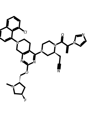 C=C(C(=O)N1CCN(c2nc(OC[C@@H]3C[C@@H](F)CN3C)nc3c2CCN(c2cccc4cccc(Cl)c24)C3)C[C@@H]1CC#N)n1ccnc1